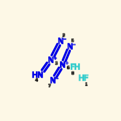 F.F.[N-]=[N+]=N.[N-]=[N+]=[N-]